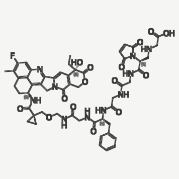 CC[C@@]1(O)C(=O)OCc2c1cc1n(c2=O)Cc2c-1nc1cc(F)c(C)c3c1c2[C@@H](NC(=O)C1(COCNC(=O)CNC(=O)[C@H](Cc2ccccc2)NC(=O)CNC(=O)CNC(=O)[C@H](CNCC(=O)O)N2C(=O)C=CC2=O)CC1)CC3